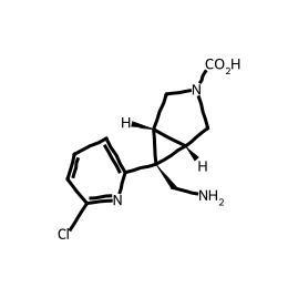 NC[C@@]1(c2cccc(Cl)n2)[C@@H]2CN(C(=O)O)C[C@@H]21